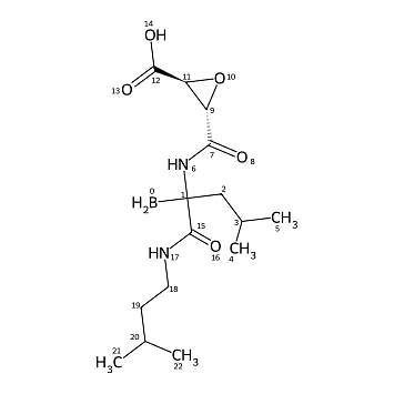 BC(CC(C)C)(NC(=O)[C@H]1O[C@@H]1C(=O)O)C(=O)NCCC(C)C